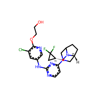 OCCOc1ncc(Nc2nccc(N3CC4CC[C@H](C3)N4C[C@@H]3CC3(F)F)n2)cc1Cl